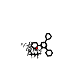 O=S(=O)(NS(=O)(=O)C(F)(F)C(F)(F)C(F)(F)S(=O)(=O)Sc1c(C2CCCCC2)cc(C2CCCCC2)cc1C1CCCCC1)C(F)(F)F